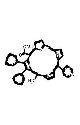 COC(=O)C1=C2C=CC(=N2)C=C2C=CC(=N2)C(c2ccncc2)=C2C=CC(=N2)C(C)=C2N=C1C(c1ccccc1)=C2c1ccccc1